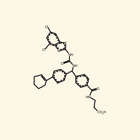 O=C(O)CCNC(=O)c1ccc(C(NC(=O)Nc2nc3c(Cl)cc(Cl)cc3s2)c2ccc(C3=CCCCC3)cc2)cc1